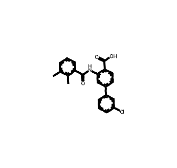 Cc1cccc(C(=O)Nc2cc(-c3cccc(Cl)c3)ccc2C(=O)O)c1C